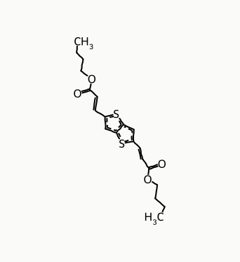 CCCCOC(=O)/C=C/c1cc2sc(/C=C/C(=O)OCCCC)cc2s1